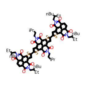 CCCCC(CC)CN1C(=O)c2ccc3c4c(c5sc(-c6cc7c8c9c(c%10sc(-c%11cc%12c%13c%14c(ccc%15c%14c(c%12s%11)C(=O)N(CC(CC)CCCC)C%15=O)C(=O)N(CC(CC)CCCC)C%13=O)cc%10c%10c9c(c7s6)C(=O)N(CCC(C)C)C%10=O)C(=O)N(CCC(C)C)C8=O)cc5c(c24)C1=O)C(=O)N(CC(CC)CCCC)C3=O